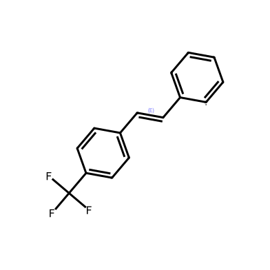 FC(F)(F)c1ccc(/C=C/c2[c]cccc2)cc1